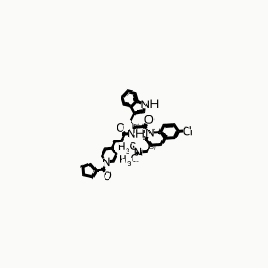 CN(C)C[C@@H]1Cc2cc(Cl)ccc2N(C(=O)[C@@H](Cc2c[nH]c3ccccc23)NC(=O)CCC2CCN(C(=O)C3CCCC3)CC2)C1